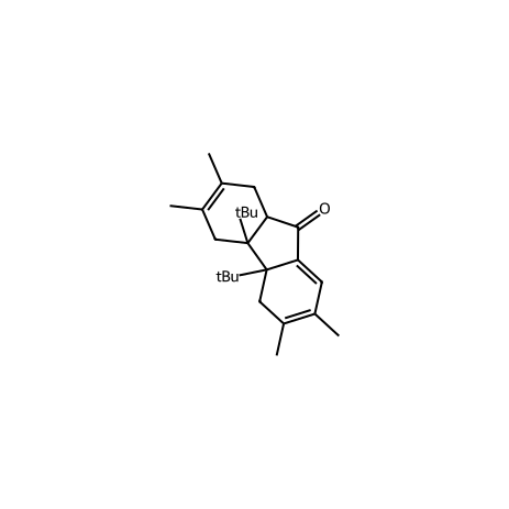 CC1=C(C)CC2(C(C)(C)C)C(=C1)C(=O)C1CC(C)=C(C)CC12C(C)(C)C